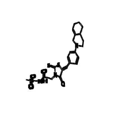 CS(=O)(=O)NC(=O)CN1C(=O)C(=Cc2ccc(N3CCC4CCCC=C4C3)cc2)SC1=S